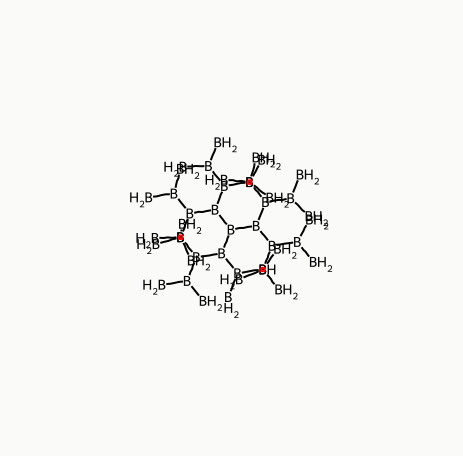 BBB(B)B(B(B(B)B)B(B)B)B(B(B(B(B)B)B(B)B)B(B(B)B)B(B)B)B(B(B(B)B)B(B)B)B(B(B)B)B(B)B